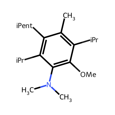 CCCC(C)c1c(C)c(C(C)C)c(OC)c(N(C)C)c1C(C)C